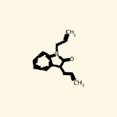 C=CCC1C(=O)N(CC=C)c2ccccc21